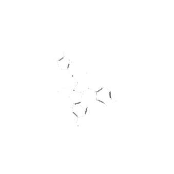 Cc1coc(C(C)(C)CC2(SC(C)(C)C)Cc3cc(O)ccc3N2Cc2ccc(Cl)cc2)n1